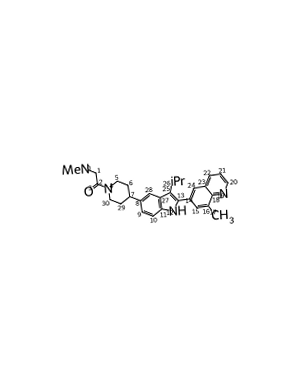 CNCC(=O)N1CCC(c2ccc3[nH]c(-c4cc(C)c5ncccc5c4)c(C(C)C)c3c2)CC1